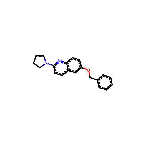 c1ccc(COc2ccc3nc(N4CCCC4)ccc3c2)cc1